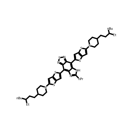 CCCCC(CC)CCC1CCN(c2cc3sc(-c4c5nsnc5c(-c5cc6sc(N7CCC(CCC(CC)CCCC)CC7)cc6s5)c5[nH]c(CCC)nc45)cc3s2)CC1